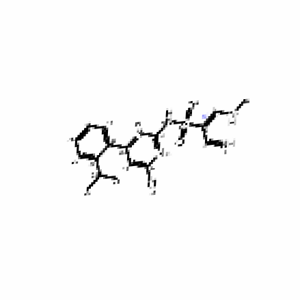 CN/C=C(\C=N)S(=O)(=O)Nc1nc(Cl)cc(-c2ccccc2C(C)C)n1